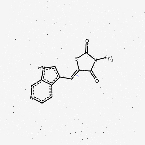 CN1C(=O)S/C(=C\c2c[nH]c3cnccc23)C1=O